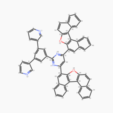 c1cncc(-c2cc(-c3cccnc3)cc(-c3nc(-c4cc5ccccc5c5c4oc4ccc6ccccc6c45)cc(-c4cc5ccccc5c5c4oc4ccc6ccccc6c45)n3)c2)c1